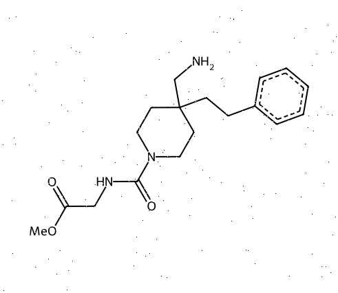 COC(=O)CNC(=O)N1CCC(CN)(CCc2ccccc2)CC1